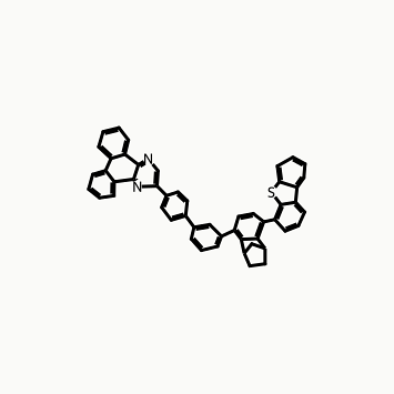 c1cc(-c2ccc(-c3cnc4c5ccccc5c5ccccc5c4n3)cc2)cc(-c2ccc(-c3cccc4c3sc3ccccc34)c3c2C2CCC3C2)c1